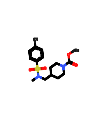 CN(CC1CCN(C(=O)OC(C)(C)C)CC1)S(=O)(=O)c1ccc(C#N)cc1